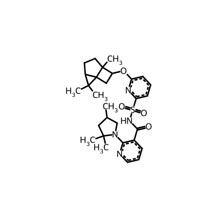 CC1CN(c2ncccc2C(=O)NS(=O)(=O)c2cccc(OC3CC45C(CCC34C)C5(C)C)n2)C(C)(C)C1